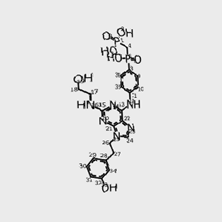 O=P(O)(O)CP(=O)(O)c1ccc(Nc2nc(NCCO)nc3c2ncn3CCc2cccc(O)c2)cc1